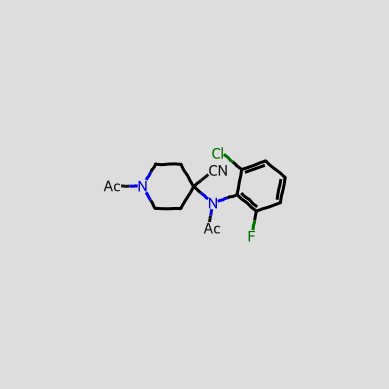 CC(=O)N1CCC(C#N)(N(C(C)=O)c2c(F)cccc2Cl)CC1